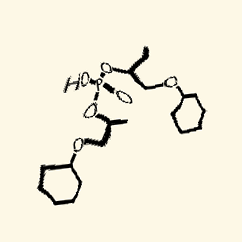 CC(COC1CCCCC1)OP(=O)(O)OC(C)COC1CCCCC1